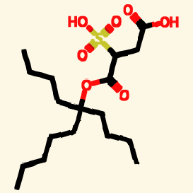 CCCCCC(CCCC)(CCCC)OC(=O)C(CC(=O)O)S(=O)(=O)O